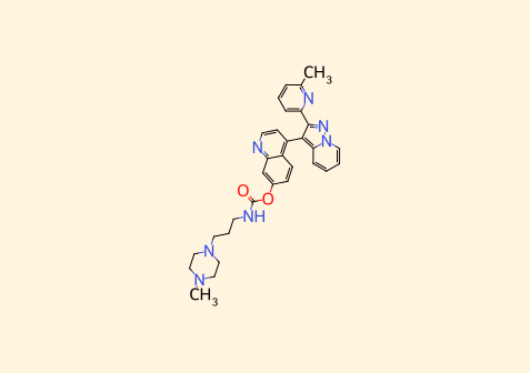 Cc1cccc(-c2nn3ccccc3c2-c2ccnc3cc(OC(=O)NCCCN4CCN(C)CC4)ccc23)n1